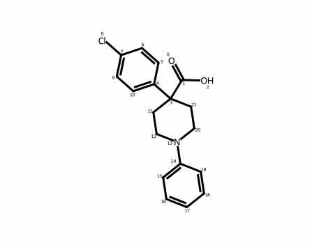 O=C(O)C1(c2ccc(Cl)cc2)CCN(c2ccccc2)CC1